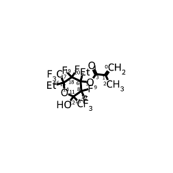 C=C(C)C(=O)OC1(CC)C(F)(F)C(O)(C(F)(F)F)OC(CC)(C(F)(F)F)C1(F)F